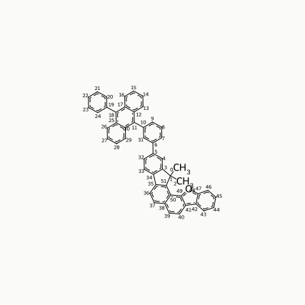 CC1(C)c2cc(-c3cccc(-c4c5ccccc5c(-c5ccccc5)c5ccccc45)c3)ccc2-c2ccc3ccc4c5ccccc5oc4c3c21